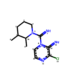 CC1CCCN(C(=N)n2ccnc(Cl)c2=N)C1C